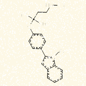 CBCCC(C)(C)Oc1ccc(-c2cc3ccccc3n2C(C)C)cc1